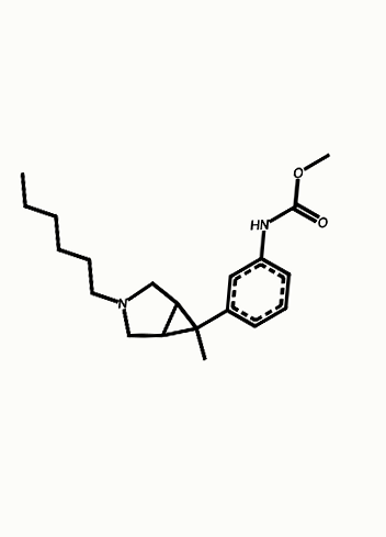 CCCCCCN1CC2C(C1)C2(C)c1cccc(NC(=O)OC)c1